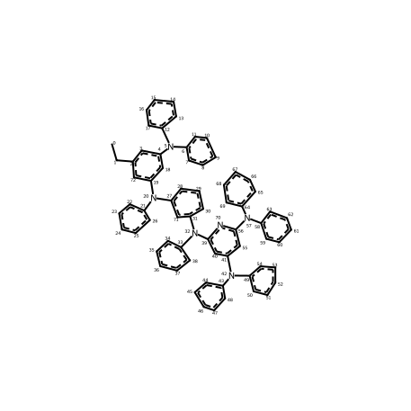 CCc1cc(N(c2ccccc2)c2ccccc2)cc(N(c2ccccc2)c2cccc(N(c3ccccc3)c3cc(N(c4ccccc4)c4ccccc4)cc(N(c4ccccc4)c4ccccc4)n3)c2)c1